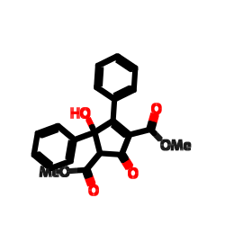 COC(=O)C1=C(c2ccccc2)C(O)(c2ccccc2)C(C(=O)OC)C1=O